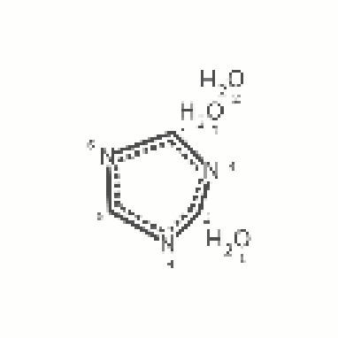 O.O.O.c1ncncn1